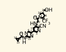 N#Cc1ncc(-c2cnc(NC(=O)C3CC3)cn2)cc1NCC(=O)N1C[C@H](CO)C[C@H]1C(F)(F)F